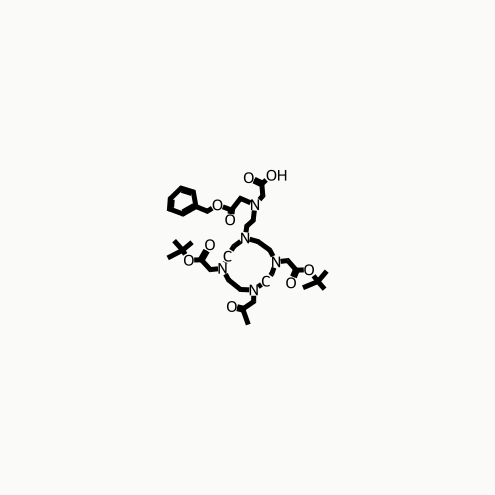 CC(=O)CN1CCN(CC(=O)OC(C)(C)C)CCN(CCN(CC(=O)O)CC(=O)OCc2ccccc2)CCN(CC(=O)OC(C)(C)C)CC1